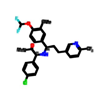 CNC(=O)[C@@H](N[C@H](CCc1ccc(C(F)(F)F)nc1)c1ccc(OC(F)F)c(OC)c1)c1ccc(Cl)cc1